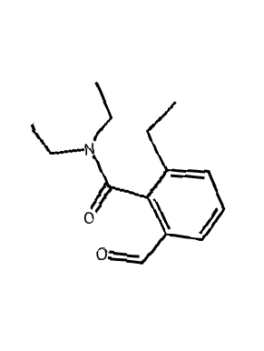 CCc1cccc(C=O)c1C(=O)N(CC)CC